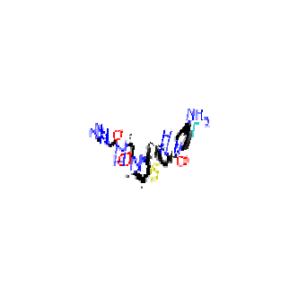 C[C@H](CC(=O)N1C(C(=O)O)=C(S[C@@H]2CN[C@H](C(=O)N3CC4C(N)[C@@]4(F)C3)C2)[C@H](C)[C@@H]1C)NC(=O)Cn1cnnn1